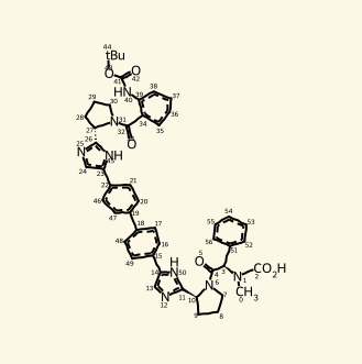 CN(C(=O)O)[C@@H](C(=O)N1CCC[C@H]1c1ncc(-c2ccc(-c3ccc(-c4cnc([C@@H]5CCCN5C(=O)c5ccccc5NC(=O)OC(C)(C)C)[nH]4)cc3)cc2)[nH]1)c1ccccc1